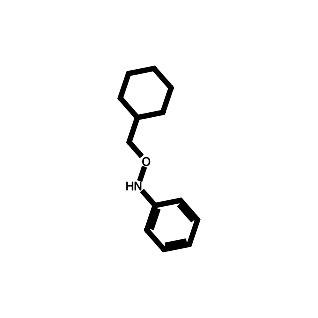 c1ccc(NOCC2CCCCC2)cc1